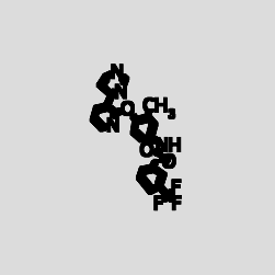 Cc1cc(NS(=O)(=O)c2cccc(C(F)(F)F)c2)ccc1Oc1ncccc1-c1ccncn1